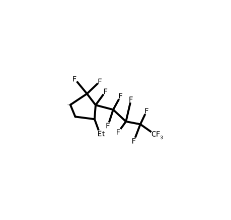 [CH2]CC1C[CH]C(F)(F)C1(F)C(F)(F)C(F)(F)C(F)(F)C(F)(F)F